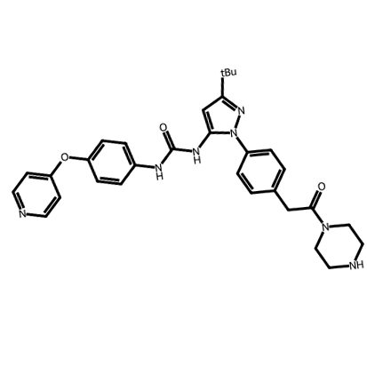 CC(C)(C)c1cc(NC(=O)Nc2ccc(Oc3ccncc3)cc2)n(-c2ccc(CC(=O)N3CCNCC3)cc2)n1